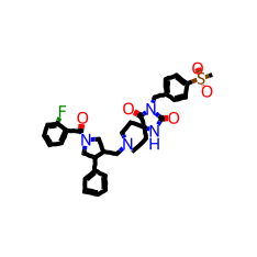 CS(=O)(=O)c1ccc(CN2C(=O)NC3(CCN(CC4CN(C(=O)c5ccccc5F)CC4c4ccccc4)CC3)C2=O)cc1